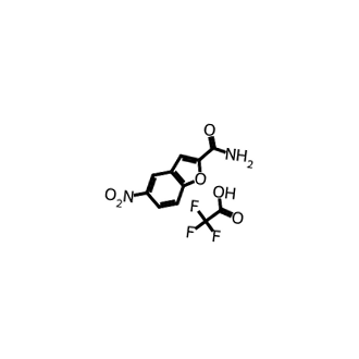 NC(=O)c1cc2cc([N+](=O)[O-])ccc2o1.O=C(O)C(F)(F)F